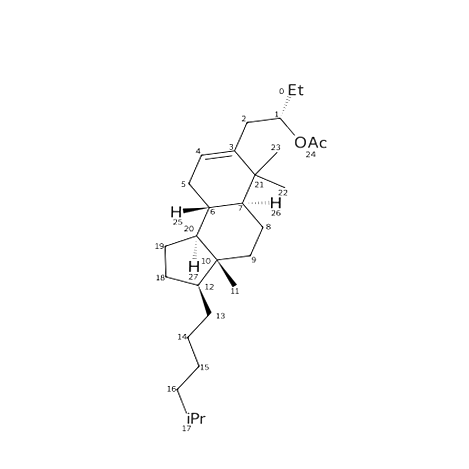 CC[C@@H](CC1=CC[C@@H]2[C@H](CC[C@]3(C)[C@@H](CCCCC(C)C)CC[C@@H]23)C1(C)C)OC(C)=O